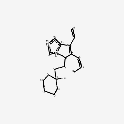 C=CC1=C(/C=C\C)C(CCC2(F)CCCCC2)n2cncc21